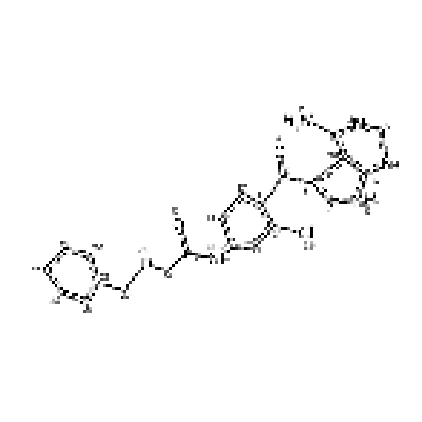 Nc1ncnc2[nH]cc(C(=O)c3ccc(NC(=O)COCc4ccccc4)cc3Cl)c12